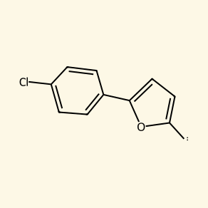 [CH]c1ccc(-c2ccc(Cl)cc2)o1